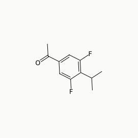 CC(=O)c1cc(F)c(C(C)C)c(F)c1